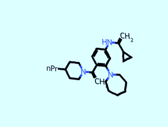 C=C(Nc1ccc(C(=C)N2CCC(CCC)CC2)c(N2CCCCCC2)c1)C1CC1